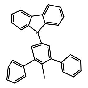 Ic1c(-c2ccccc2)cc(-n2c3ccccc3c3ccccc32)cc1-c1ccccc1